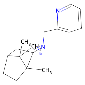 CC12CCC(C/C1=N\Cc1ccccn1)C2(C)C